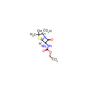 CC1(C)S[C@H]2N(C(=O)[C@@]2(N)NC(=O)OCC(Cl)(Cl)Cl)[C@H]1C(=O)O